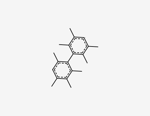 Cc1[c]c(C)c(C)c(-c2c(C)cc(C)c(C)c2C)c1C